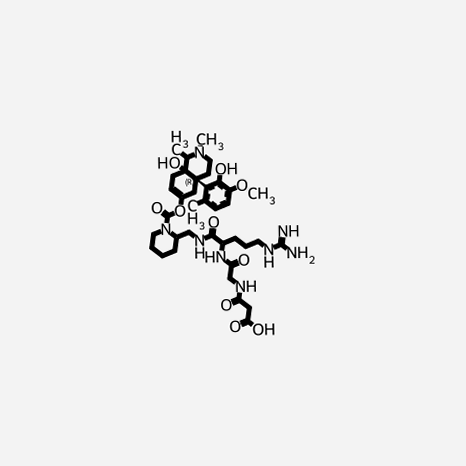 COc1ccc(C)c([C@]23CCN(C)C(C)C2(O)CC=C(OC(=O)N2CCCCC2CNC(=O)C(CCCNC(=N)N)NC(=O)CNC(=O)CC(=O)O)C3)c1O